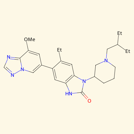 CCc1cc2c(cc1-c1cc(OC)c3ncnn3c1)[nH]c(=O)n2C1CCCN(CC(CC)CC)C1